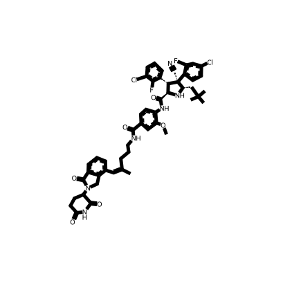 COc1cc(C(=O)NCCC/C(C)=C\c2cccc3c2CN(C2CCC(=O)NC2=O)C3=O)ccc1NC(=O)[C@@H]1N[C@@H](CC(C)(C)C)[C@](C#N)(c2ccc(Cl)cc2F)[C@H]1c1cccc(Cl)c1F